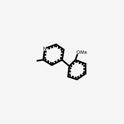 COc1[c]cccc1-c1ccnc(C)c1